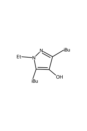 CCC(C)c1nn(CC)c(C(C)CC)c1O